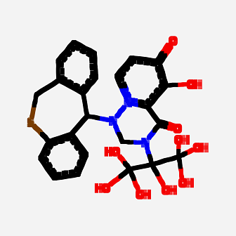 O=C1c2c(O)c(=O)ccn2N(C2c3ccccc3CSc3ccccc32)CN1C(O)(C(O)(O)O)C(O)(O)O